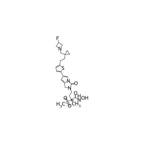 C[C@@](CCN1Cc2cc(-c3ccc(CCC4(CN5CC(F)C5)CC4)s3)cn2C1=O)(C(=O)NO)S(C)(=O)=O